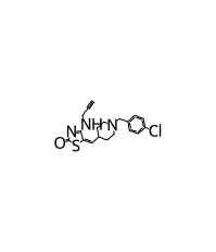 C#CCNC1=NC(=O)SC1=CC1CCN(Cc2ccc(Cl)cc2)CC1